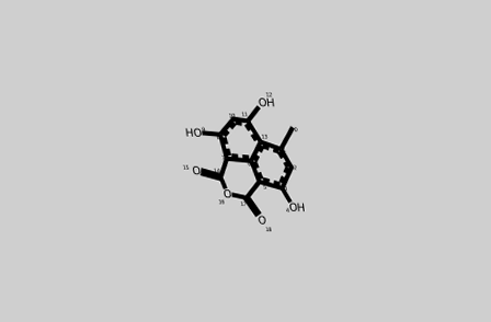 Cc1cc(O)c2c3c(c(O)cc(O)c13)C(=O)OC2=O